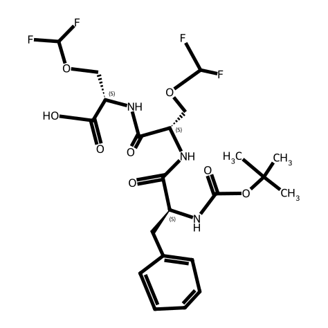 CC(C)(C)OC(=O)N[C@@H](Cc1ccccc1)C(=O)N[C@@H](COC(F)F)C(=O)N[C@@H](COC(F)F)C(=O)O